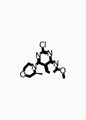 C/C=C1/C(N2CCOC[C@@H]2C)=NC(Cl)=N/C1=N/C(C)OC